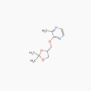 Cc1nccnc1OCC1COC(C)(C)O1